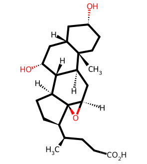 C[C@H](CCC(=O)O)[C@H]1CC[C@H]2[C@@H]3[C@H](O)C[C@@H]4C[C@H](O)CC[C@]4(C)[C@H]3C[C@H]3O[C@]132